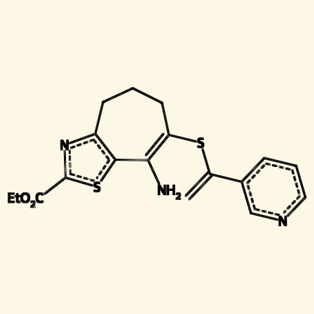 C=C(SC1=C(N)c2sc(C(=O)OCC)nc2CCC1)c1cccnc1